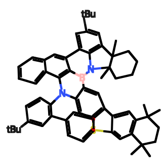 CC(C)(C)c1ccc(N2c3cc4sc5cc6c(cc5c4cc3B3c4c(cc5ccccc5c42)-c2cc(C(C)(C)C)cc4c2N3C2(C)CCCCC42C)C(C)(C)CCC6(C)C)c(-c2ccccc2)c1